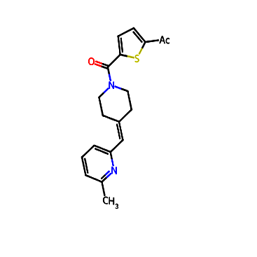 CC(=O)c1ccc(C(=O)N2CCC(=Cc3cccc(C)n3)CC2)s1